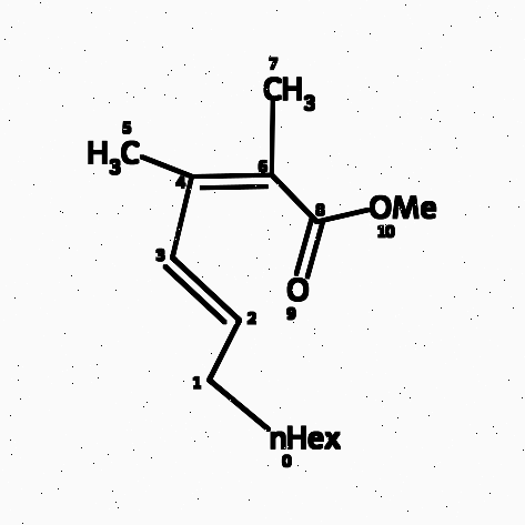 CCCCCCCC=CC(C)=C(C)C(=O)OC